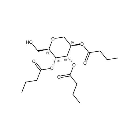 CCCC(=O)O[C@@H]1[C@H](OC(=O)CCC)[C@@H](CO)O[CH][C@H]1OC(=O)CCC